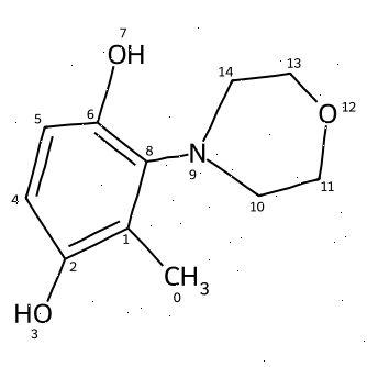 Cc1c(O)ccc(O)c1N1CCOCC1